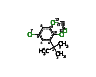 CC(C)(C)c1cc(Cl)c[c]c1Cl.[Cl][Ti][Cl]